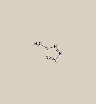 Cn1nnnn1